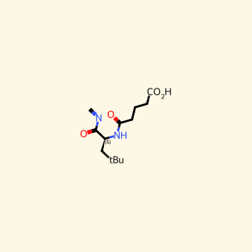 C=NC(=O)[C@H](CC(C)(C)C)NC(=O)CCCC(=O)O